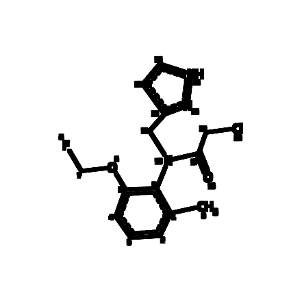 Cc1cccc(OCF)c1N(Cc1cc[nH]n1)C(=O)CCl